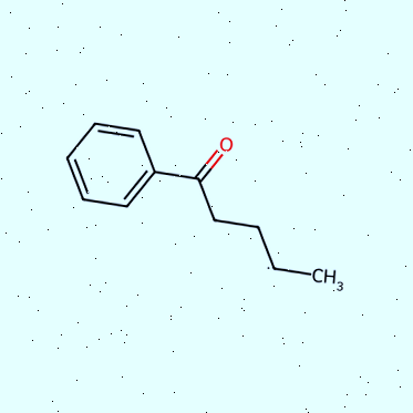 C[CH]CCC(=O)c1ccccc1